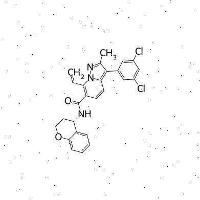 C=Cc1c(C(=O)N[C@H]2CCOc3ccccc32)ccc2c(-c3cc(Cl)cc(Cl)c3)c(C)nn12